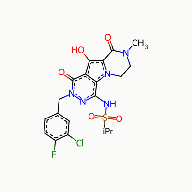 CC(C)S(=O)(=O)Nc1nn(Cc2ccc(F)c(Cl)c2)c(=O)c2c(O)c3n(c12)CCN(C)C3=O